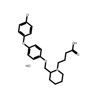 Cl.O=C(O)CCCN1CCCCC1COc1ccc(Oc2ccc(Cl)cc2)cc1